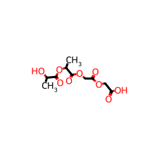 CC(O)C(=O)OC(C)C(=O)OCC(=O)OCC(=O)O